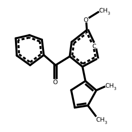 COc1ccc(C2=C(C)C(C)=CC2)c(C(=O)c2ccccc2)c1